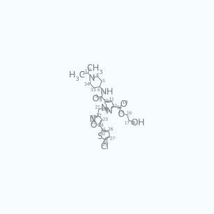 CC(C)N1CCC(NC(=O)c2cc(C(=O)OCCO)nn2Cc2cc(-c3ccc(Cl)s3)on2)CC1